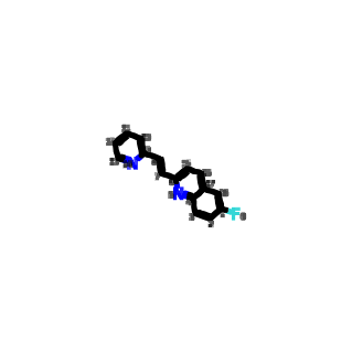 Fc1ccc2nc(/C=C/c3ccccn3)ccc2c1